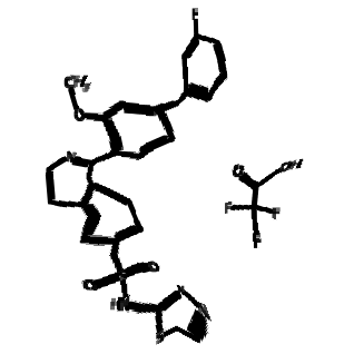 COc1cc(-c2cccc(F)c2)ccc1-c1nccc2cc(S(=O)(=O)Nc3nncs3)ccc12.O=C(O)C(F)(F)F